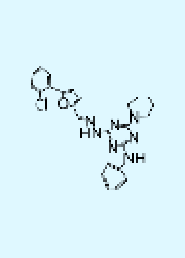 Clc1ccccc1-c1ccc(/C=N/Nc2nc(Nc3ccccc3)nc(N3CCCCC3)n2)o1